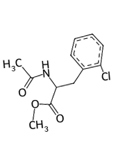 COC(=O)C(Cc1ccccc1Cl)NC(C)=O